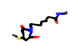 CCSC1CC(=O)N(CCCCCC(=O)NC(C)C)C1=O